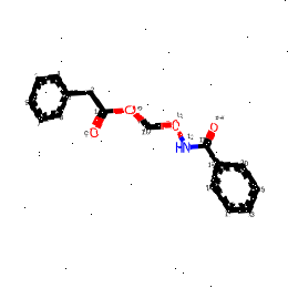 O=C(Cc1ccccc1)OCONC(=O)c1ccccc1